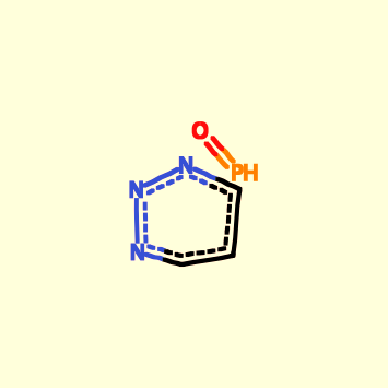 O=P.c1cnnnc1